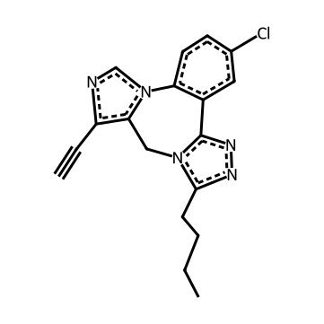 C#Cc1ncn2c1Cn1c(CCCC)nnc1-c1cc(Cl)ccc1-2